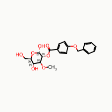 CO[C@H]1[C@H](O)[C@@H](CO)O[C@H](O)[C@@H]1OC(=O)c1ccc(OCc2ccccc2)cc1